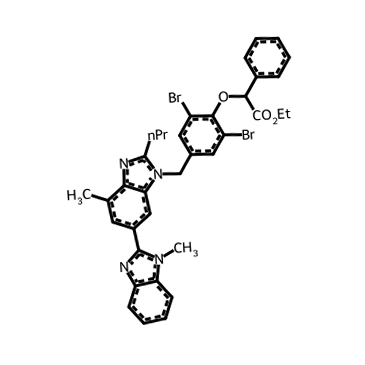 CCCc1nc2c(C)cc(-c3nc4ccccc4n3C)cc2n1Cc1cc(Br)c(OC(C(=O)OCC)c2ccccc2)c(Br)c1